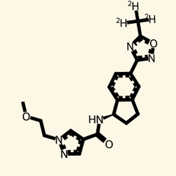 [2H]C([2H])([2H])c1nc(-c2ccc3c(c2)CC[C@H]3NC(=O)c2cnn(CCOC)c2)no1